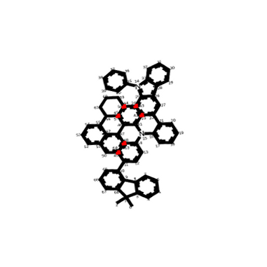 CC1(C)c2ccccc2-c2c(-c3ccc(N(c4ccccc4-c4ccc5c(c4)c4ccccc4n5-c4ccccc4)c4ccccc4-c4cccc5cccc(C6CCCCC6)c45)cc3)cccc21